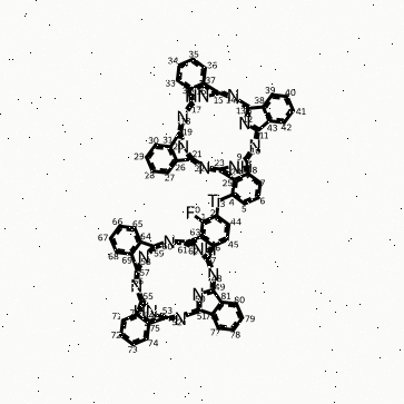 Fc1[c]([Ti][c]2cccc3c4nc5nc(nc6[nH]c(nc7nc(nc([nH]4)c23)-c2ccccc2-7)c2ccccc62)-c2ccccc2-5)ccc2c3nc4nc(nc5[nH]c(nc6nc(nc([nH]3)c12)-c1ccccc1-6)c1ccccc51)-c1ccccc1-4